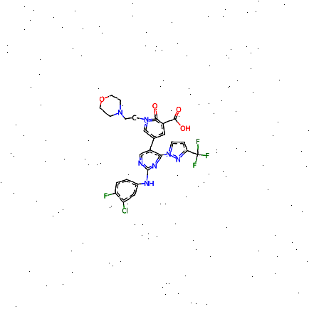 O=C(O)c1cc(-c2cnc(Nc3ccc(F)c(Cl)c3)nc2-n2ccc(C(F)(F)F)n2)cn(CCN2CCOCC2)c1=O